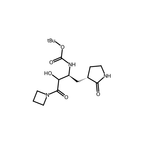 CC(C)(C)OC(=O)N[C@@H](C[C@@H]1CCNC1=O)C(O)C(=O)N1CCC1